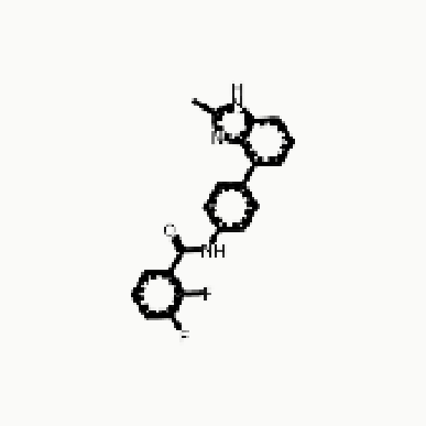 Cc1nc2c(-c3ccc(NC(=O)c4cccc(F)c4F)cc3)cccc2[nH]1